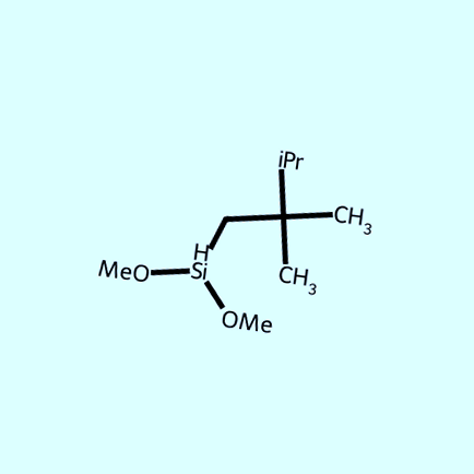 CO[SiH](CC(C)(C)C(C)C)OC